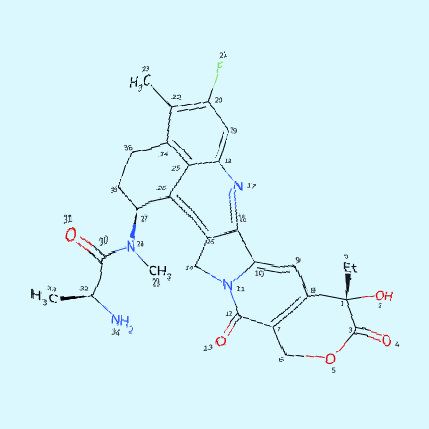 CC[C@@]1(O)C(=O)OCc2c1cc1n(c2=O)Cc2c-1nc1cc(F)c(C)c3c1c2[C@@H](N(C)C(=O)[C@H](C)N)CC3